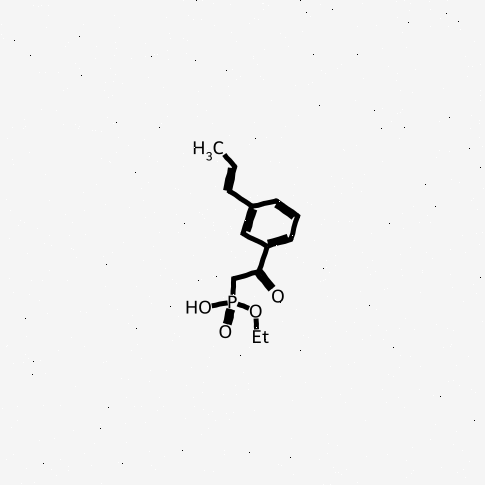 CC=Cc1cccc(C(=O)CP(=O)(O)OCC)c1